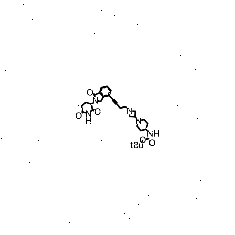 CC(C)(C)OC(=O)NC1CCN(C2CN(CCC#Cc3cccc4c3CN(C3CCC(=O)NC3=O)C4=O)C2)CC1